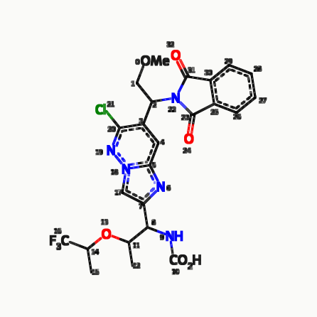 COCC(c1cc2nc(C(NC(=O)O)C(C)OC(C)C(F)(F)F)cn2nc1Cl)N1C(=O)c2ccccc2C1=O